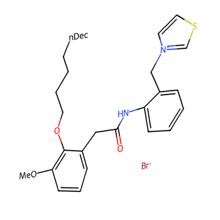 CCCCCCCCCCCCCCOc1c(CC(=O)Nc2ccccc2C[n+]2ccsc2)cccc1OC.[Br-]